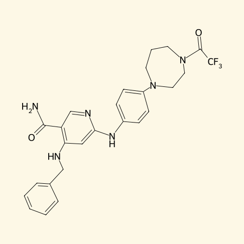 NC(=O)c1cnc(Nc2ccc(N3CCCN(C(=O)C(F)(F)F)CC3)cc2)cc1NCc1ccccc1